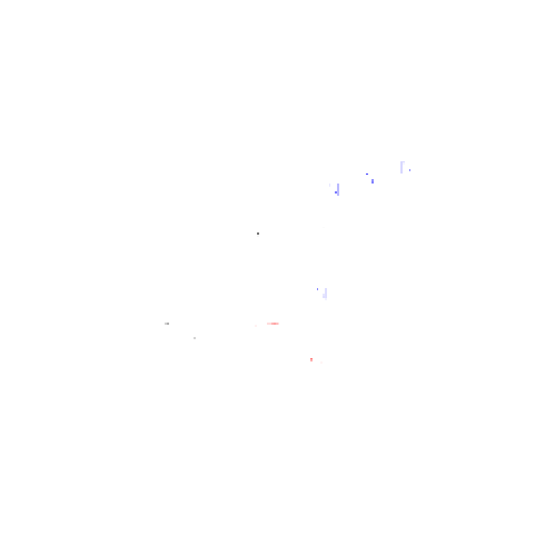 [N-]=[N+]=NC1(CC(F)(F)F)CCCN(C(=O)OCc2ccccc2)C1